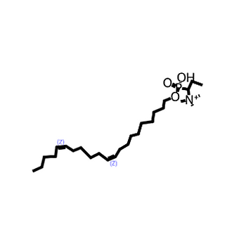 CCCC/C=C\CCCC/C=C\CCCCCCCCCOP(=O)(O)C(CC)[N+](C)(C)C